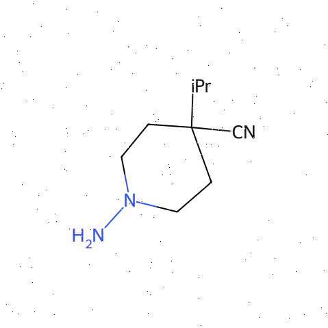 CC(C)C1(C#N)CCN(N)CC1